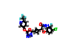 NC(=O)C(Oc1ccc(Cl)c(F)c1)C12CC(c3nnc(Oc4ccc(C(F)(F)F)nc4)o3)(C1)C2